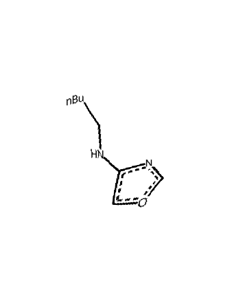 CCCCCNc1cocn1